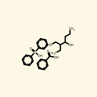 CCCC(O)C(CC)CO.O=C(O)c1ccccc1.O=P(O)(c1ccccc1)c1ccccc1